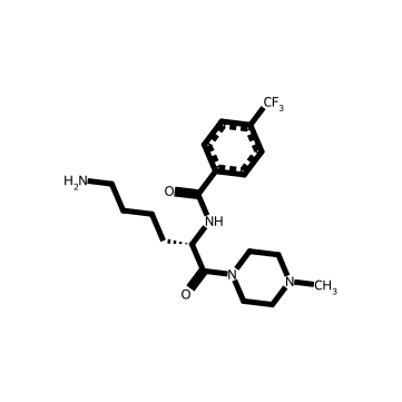 CN1CCN(C(=O)[C@H](CCCCN)NC(=O)c2ccc(C(F)(F)F)cc2)CC1